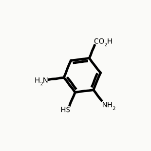 Nc1cc(C(=O)O)cc(N)c1S